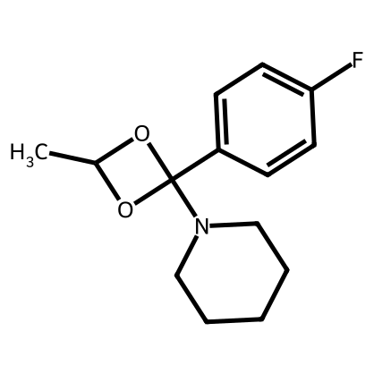 CC1OC(c2ccc(F)cc2)(N2CCCCC2)O1